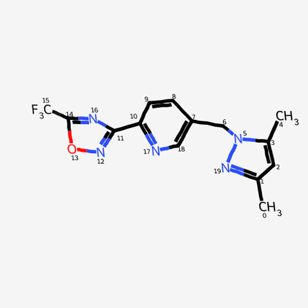 Cc1cc(C)n(Cc2ccc(-c3noc(C(F)(F)F)n3)nc2)n1